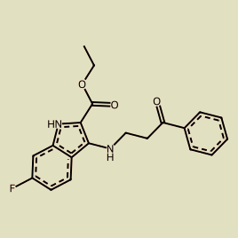 CCOC(=O)c1[nH]c2cc(F)ccc2c1NCCC(=O)c1ccccc1